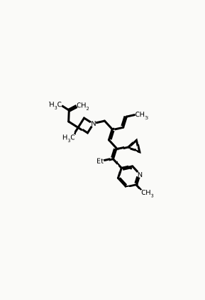 C=C(C)CC1(C)CN(CC(/C=C/C)=C/C(=C(\CC)c2ccc(C)nc2)C2CC2)C1